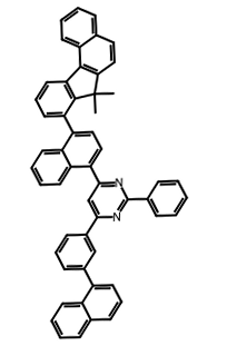 CC1(C)c2ccc3ccccc3c2-c2cccc(-c3ccc(-c4cc(-c5cccc(-c6cccc7ccccc67)c5)nc(-c5ccccc5)n4)c4ccccc34)c21